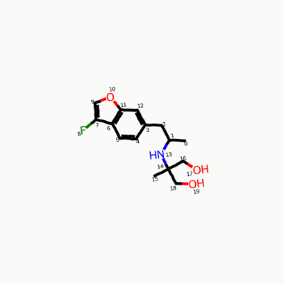 CC(Cc1ccc2c(F)coc2c1)NC(C)(CO)CO